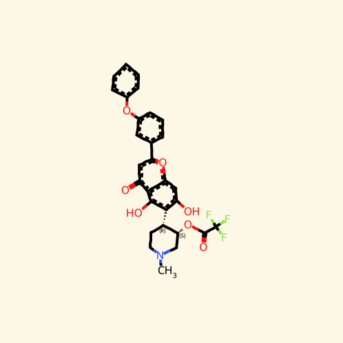 CN1CC[C@H](c2c(O)cc3oc(-c4cccc(Oc5ccccc5)c4)cc(=O)c3c2O)[C@H](OC(=O)C(F)(F)F)C1